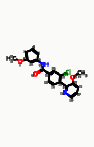 COc1cccc(NC(=O)c2ccc(-c3ncccc3OC)c(Cl)c2)c1